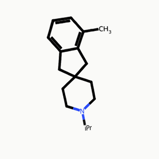 Cc1cccc2c1CC1(CCN(C(C)C)CC1)C2